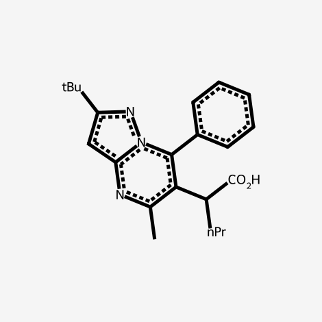 CCCC(C(=O)O)c1c(C)nc2cc(C(C)(C)C)nn2c1-c1ccccc1